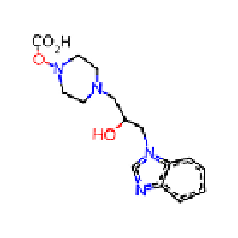 O=C(O)ON1CCN(CC(O)Cn2cnc3ccccc32)CC1